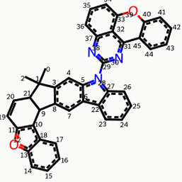 CC1(C)c2cc3c(cc2C2c4c(oc5ccccc45)C=CC21)c1ccccc1n3-c1nc2c3c(cccc3n1)Oc1ccccc1-2